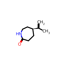 C=C(C)[C@@H]1CCNC(=O)CC1